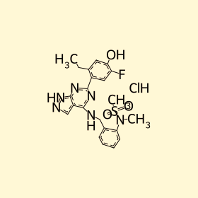 CCc1cc(O)c(F)cc1-c1nc(NCc2ccccc2N(C)S(C)(=O)=O)c2cn[nH]c2n1.Cl